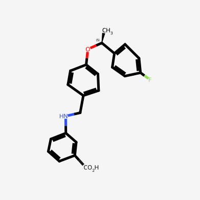 C[C@H](Oc1ccc(CNc2cccc(C(=O)O)c2)cc1)c1ccc(F)cc1